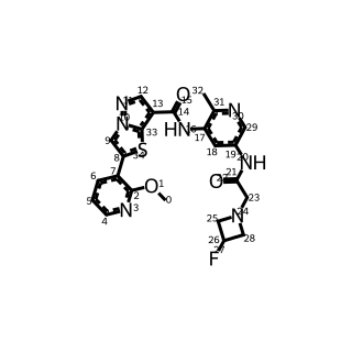 COc1ncccc1-c1cn2ncc(C(=O)Nc3cc(NC(=O)CN4CC(F)C4)cnc3C)c2s1